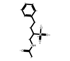 CC(=O)NCC(CCc1ccccc1)S(=O)(=O)Cl